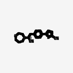 N#Cc1ccc(-c2ccc(C[C@@H](C#N)N3CCCOCC3)cc2)s1